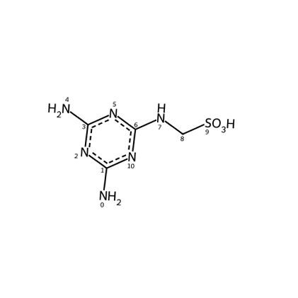 Nc1nc(N)nc(NCS(=O)(=O)O)n1